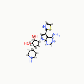 Nc1ncnc2c1c(-c1nccs1)cn2[C@@H]1C[C@H](C2CCNCC2)[C@@H](O)[C@H]1O